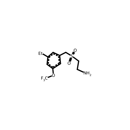 CCc1cc(CS(=O)(=O)CCN)cc(OC(F)(F)F)c1